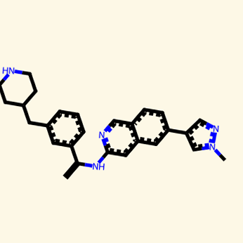 C=C(Nc1cc2cc(-c3cnn(C)c3)ccc2cn1)c1cccc(CC2CCNCC2)c1